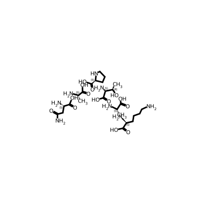 C[C@@H](O)[C@H](N)C(=O)O.C[C@H](N)C(=O)O.C[C@H](N)C(=O)O.NC(=O)C[C@H](N)C(=O)O.NCCCC[C@H](N)C(=O)O.O=C(O)[C@@H]1CCCN1